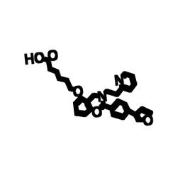 O=C(O)CCCCCOc1ccccc1CN(CCc1ccccn1)C(=O)c1ccc(-c2ccoc2)cc1